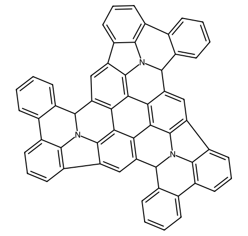 c1ccc2c(c1)-c1cccc3c4cc5c6c7c8c(cc9c%10cccc%11c%10n%10c9c8c8c(cc9c%12cccc%13c%12n(c9c68)C5c5ccccc5-%13)C%10c5ccccc5-%11)C2n(c13)c47